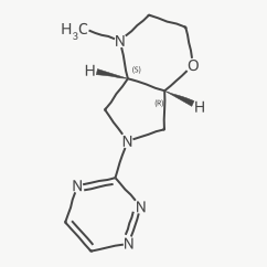 CN1CCO[C@@H]2CN(c3nccnn3)C[C@@H]21